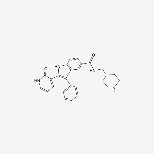 O=C(NCC1CCNCC1)c1ccc2[nH]c(-c3ccc[nH]c3=O)c(-c3ccccc3)c2c1